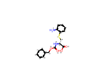 Nc1ccccc1SC[C@@H](NC(=O)OCc1ccccc1)C(=O)O